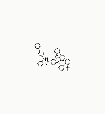 CC1(C)c2ccccc2-c2c(N(c3ccc(-c4nc(-c5ccc(-c6ccccc6)cc5)c5ccccc5n4)cc3)c3cccc4c3oc3ccccc34)cccc21